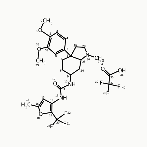 COc1ccc(C23CCC(NC(=O)Nc4cc(C)oc4C(F)(F)F)CC2N(C)CC3)cc1OC.O=C(O)C(F)(F)F